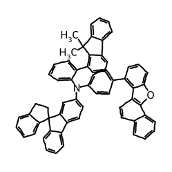 CC1(C)c2ccccc2-c2cccc(-c3ccccc3N(c3ccc(-c4cccc5oc6c7ccccc7ccc6c45)cc3)c3ccc4c(c3)C3(CCc5ccccc53)c3ccccc3-4)c21